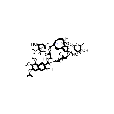 COc1c(OC(C)C)cc2cc(O)c(C(=O)NC3Cc4ccc(c(Cl)n4)O[C@@H]4C=C5C#C/C(=C\C#C[C@@H]6O[C@]56[C@@H]4O[C@H]4C[C@@](C)(O)[C@@H](O)[C@H](C)O4)C(O[C@H]4C[C@H](O)[C@H](N(C)C)[C@H](C)O4)OC3=O)cc2c1OC